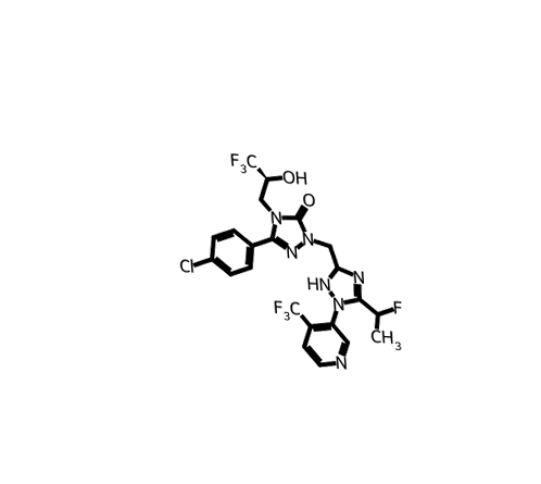 CC(F)C1=NC(Cn2nc(-c3ccc(Cl)cc3)n(C[C@H](O)C(F)(F)F)c2=O)NN1c1cnccc1C(F)(F)F